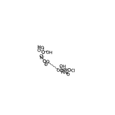 COc1ccc(C2=NOC(c3cc(CO)c(CO)c(CO)c3)C2)cc1OCCCCCCCCOc1ccc(C2NC(=O)c3cc(Cl)ccc3N2)cc1CO